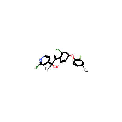 CC(c1ccc(Oc2ccc(C#N)cc2F)cc1Cl)C(O)(c1ccnc(Cl)c1)C(F)(F)F